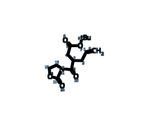 C=CCC(CC(=O)OC(C)(C)C)C(=O)N1CCOC1=O